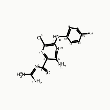 NC(N)=NC(=O)c1nc(Cl)c(Nc2ccc(F)cc2)nc1N